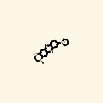 CN1CCOc2cc3nc4ccc(=[N+]5CCCC5)cc-4oc3cc21